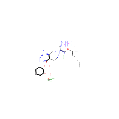 CCC(C)C(=O)/C(Cl)=C(\C=N)N1CCc2c(ncnc2Oc2ccc(F)cc2OC(F)(F)F)C1